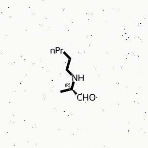 CCCCCN[C@H](C)[C]=O